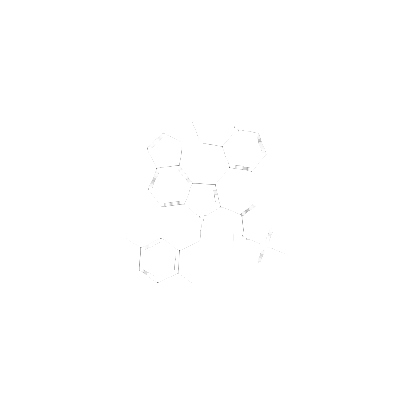 COC1NC=CC=C1c1c(C(=O)NS(C)(=O)=O)n(Cc2cc(F)ccc2F)c2ccc3ccsc3c12